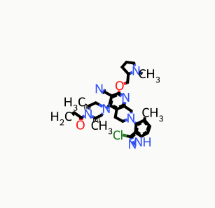 C=CC(=O)N1[C@H](C)CN(c2c(C#N)c(OCC3CCCN3C)nc3c2CCN(c2c(C)ccc4[nH]nc(Cl)c24)C3)C[C@@H]1C